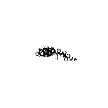 COC(=O)C(C)(C)CCC(=O)NC1CC[C@H]2[C@@H]3CCC4N(C)C(=O)CC[C@]4(C)[C@@H]3CC[C@]12C